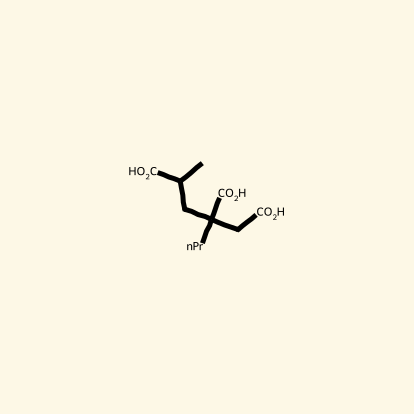 CCCC(CC(=O)O)(CC(C)C(=O)O)C(=O)O